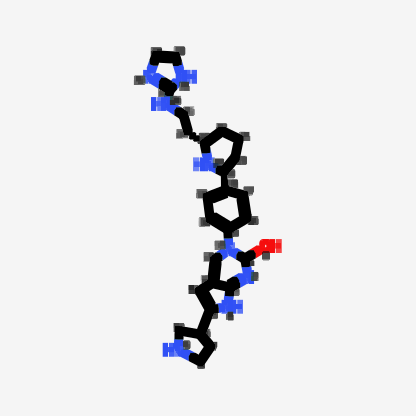 OC1N=c2[nH]c(C3CCNC3)cc2=CN1c1ccc([C@@H]2CCC[C@@H](CCNc3ncc[nH]3)N2)cc1